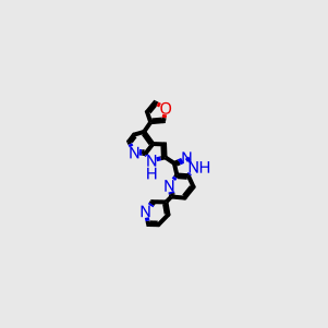 c1cncc(-c2ccc3[nH]nc(-c4cc5c(-c6ccoc6)ccnc5[nH]4)c3n2)c1